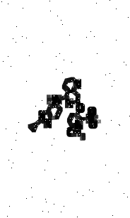 Cc1ccc(Oc2cc3ncccc3c(Nc3ccc4nc(C5CC5)sc4c3)n2)c([N+](=O)[O-])n1